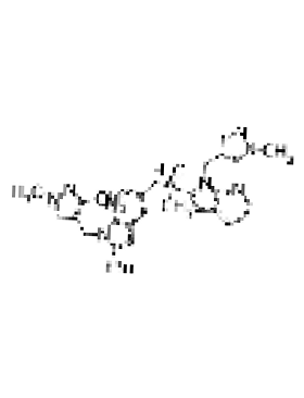 Cc1nn(C)cc1Cn1c(C(C)(C)C)cc2cc(CC(C)(C)c3cc4cccnc4n3Cc3cnn(C)c3)cnc21